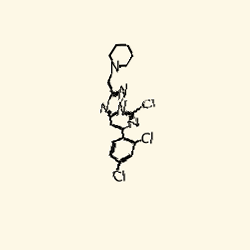 Clc1ccc(-c2cc3nc(CN4CCCCC4)nn3c(Cl)n2)c(Cl)c1